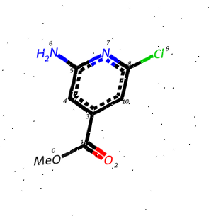 COC(=O)c1cc(N)nc(Cl)c1